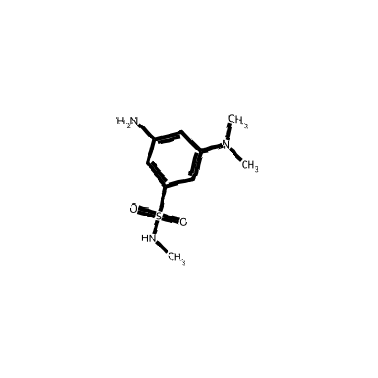 CNS(=O)(=O)c1cc(N)cc(N(C)C)c1